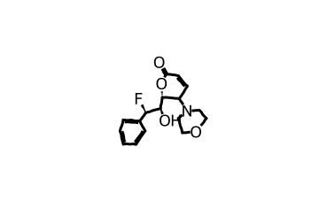 O=C1C=CC(N2CCOCC2)[C@H]([C@@H](O)[C@H](F)c2ccccc2)O1